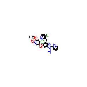 CCS(=O)(=O)c1ccc(Oc2cc(Cc3c(Cl)ccnc3Cl)c3nc(-c4ccccn4)[nH]c3c2)cn1